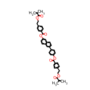 C=C(C)C(=O)OCCc1ccc(C(=O)Oc2ccc(-c3ccc4cc(OC(=O)c5ccc(CCOC(=O)C(=C)C)cc5)ccc4c3)cc2)cc1